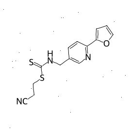 N#CCCSC(=S)NCc1ccc(-c2ccco2)nc1